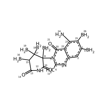 Bc1cc2nc(C)n(C3(B)C(=O)NC(=O)C(B)C3(B)B)c(=O)c2c(N)c1B